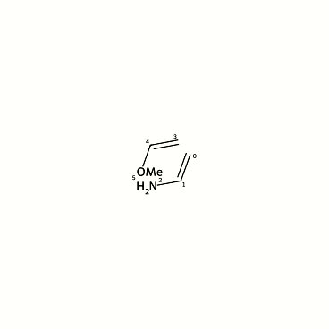 C=CN.C=COC